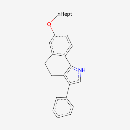 CCCCCCCOc1ccc2c(c1)CCc1c(-c3ccccc3)c[nH]c1-2